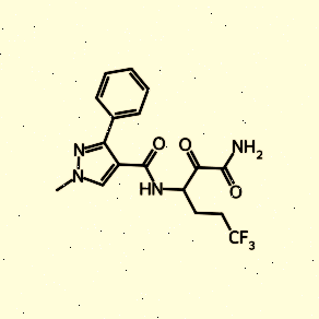 Cn1cc(C(=O)NC(CCC(F)(F)F)C(=O)C(N)=O)c(-c2ccccc2)n1